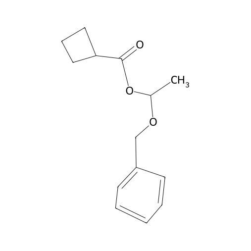 CC(OCc1ccccc1)OC(=O)C1CCC1